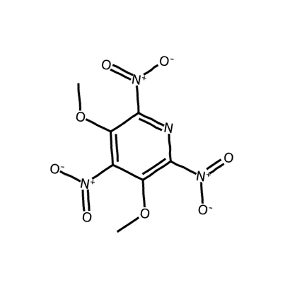 COc1c([N+](=O)[O-])nc([N+](=O)[O-])c(OC)c1[N+](=O)[O-]